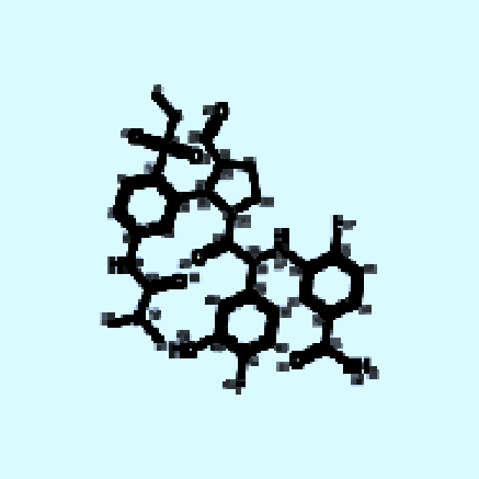 CCS(=O)(=O)c1ccc(NC(=O)N(C)C)cc1[C@H]1[C@@H](C=O)CCN1C(=O)[C@@H](Nc1cc(C(N)=O)ccc1F)c1ccc(F)c(O)c1